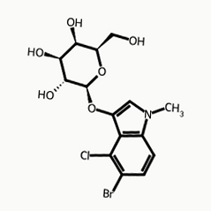 Cn1cc(O[C@@H]2O[C@H](CO)[C@H](O)[C@H](O)[C@H]2O)c2c(Cl)c(Br)ccc21